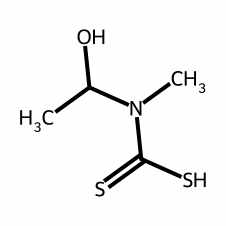 CC(O)N(C)C(=S)S